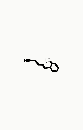 C=C1C=CC=CC1C=CC=CC#N